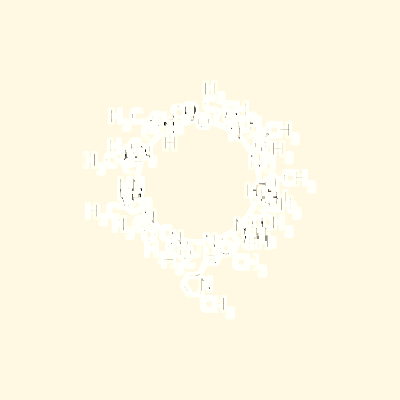 CC[C@H]1NC(=O)[C@@H]([C@H](O)[C@H](C)CCCc2cccc(C)n2)N(C)C(=O)[C@@H](C(C)C)N(C)C(=O)[C@@H](CC(C)C)NC(=O)[C@@H](CC(C)C)N(C)C(=O)[C@H](C(C)C)OC(=O)[C@@H](C)NC(=O)[C@@H](CC(C)C)N(C)C(=O)[C@@H](CC(C)C)NC(=O)[C@H](CC(C)C)N(C)C(=O)CN(C)C1=O